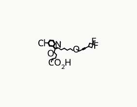 C[C@H](CC(=O)O)CC(=O)c1c(CCCCCOCC#CC2CC(F)(F)C2)n(C)c2ccc(Cl)cc12